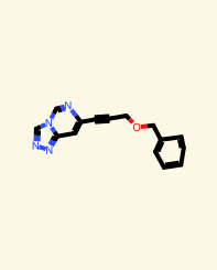 C(#Cc1cc2nncn2cn1)COCc1ccccc1